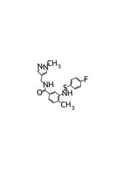 Cc1ccc(C(=O)NCc2cnn(C)c2)cc1NSc1ccc(F)cc1